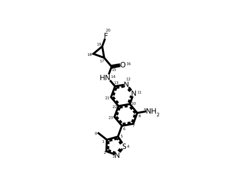 Cc1cnsc1-c1cc(N)c2nnc(NC(=O)C3CC3F)cc2c1